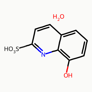 O.O=S(=O)(O)c1ccc2cccc(O)c2n1